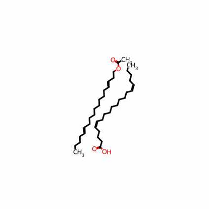 CCCC/C=C\CCCCCCCC/C=C\CCCC(=O)O.CCCCC=CCCCCCCCCC=CCCOC(C)=O